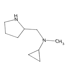 CN(CC1CCCN1)C1CC1